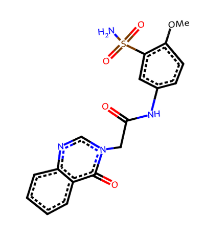 COc1ccc(NC(=O)Cn2cnc3ccccc3c2=O)cc1S(N)(=O)=O